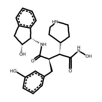 O=C(N[C@H]1c2ccccc2C[C@H]1O)[C@H](Cc1cccc(O)c1)[C@@H](C(=O)NO)C1CCNCC1